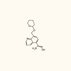 N/C(=N\O)c1ccc(COC2CCCCO2)c2ncccc12